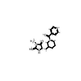 CN1C(=N)N[C@@H](CC2CCCN(C(=O)c3ccncc3)C2)C1=O